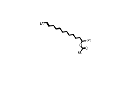 CCC=CCC=CCCCCCCC(CCC)OC(=O)CC